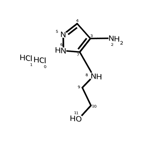 Cl.Cl.Nc1cn[nH]c1NCCO